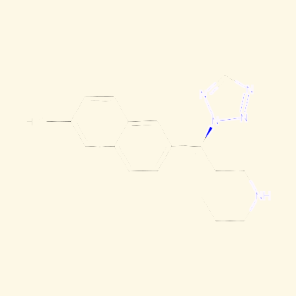 Cc1ccc2cc([C@H]([C@H]3CCCNC3)n3ncnn3)ccc2c1